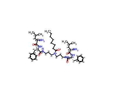 CCCCCCCC(=O)N(CCCNC(=O)[C@@H](Cc1ccccc1)NC(=O)[C@H](N)CC(C)C)CCCNC(=O)[C@@H](Cc1ccccc1)NC(=O)[C@H](N)CC(C)C